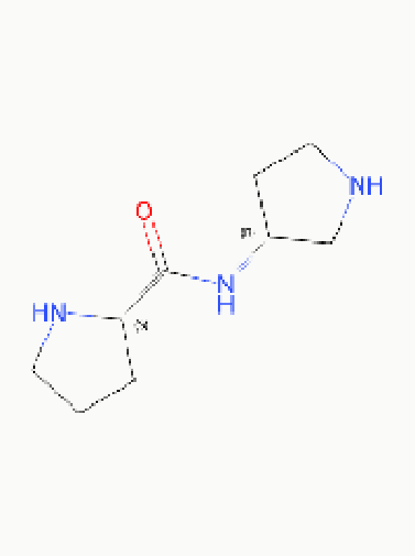 O=C(N[C@@H]1CCNC1)[C@@H]1CCCN1